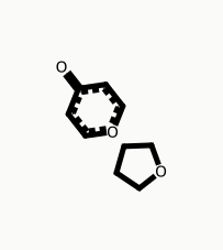 C1CCOC1.O=c1ccocc1